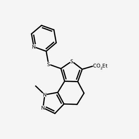 CCOC(=O)c1sc(Sc2ccccn2)c2c1CCc1cnn(C)c1-2